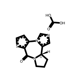 O=C(O)O.O=C1c2sccc2-n2cncc2[C@@H]2CCCN12